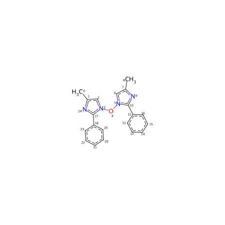 Cc1cn(On2cc(C)nc2-c2ccccc2)c(-c2ccccc2)n1